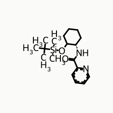 CC(C)(C)[Si](C)(C)OC1CCCC[C@@H]1NC(=O)c1ccccn1